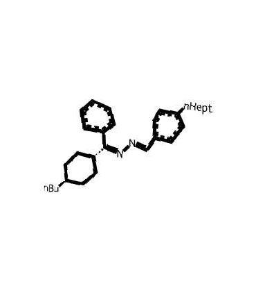 CCCCCCCc1ccc(C=NN=C(c2ccccc2)[C@H]2CC[C@H](CCCC)CC2)cc1